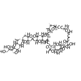 C=C1C[C@@H]2CC[C@]34OC5[C@@H]6O[C@H]7CC[C@H](CC(=O)C[C@@H]8[C@@H](C)[C@@H]9O[C@@H]%10C[C@]%11(C[C@@H]%12O[C@]%13(C[C@H](C)[C@@H]%14O[C@@H]%15[C@@H]([C@@H](O)CO)CO[C@@H]%15C[C@@H]%14O%13)C[C@H](C)[C@@H]%12O%11)O[C@@H]%10C[C@@H]9O[C@H]8C[C@H]8O[C@@H](CC[C@@H]1O2)C[C@@H](C)C8=C)O[C@@H]7[C@H](O3)[C@@H]6O[C@@]5(C)[C@H]4O